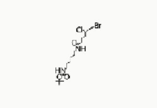 CC(C)(C)OC(=O)NCCCCCCNC(=O)CCCC(Cl)C#CBr